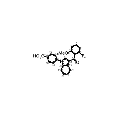 COc1cccc(F)c1C(=O)c1cn(-c2ccc(C(=O)O)cc2)c2ccccc12